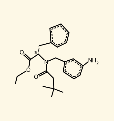 CCOC(=O)[C@H](Cc1ccccc1)N(Cc1cccc(N)c1)C(=O)CC(C)(C)C